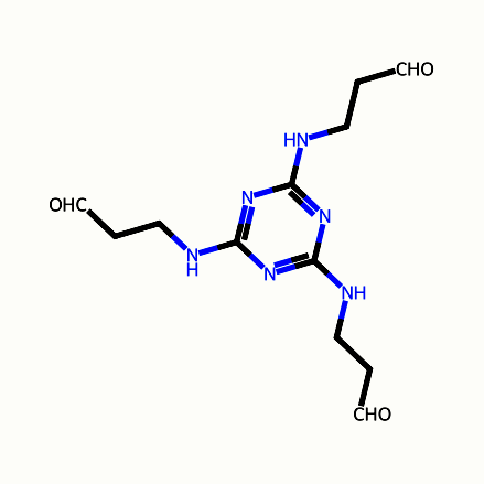 O=CCCNc1nc(NCCC=O)nc(NCCC=O)n1